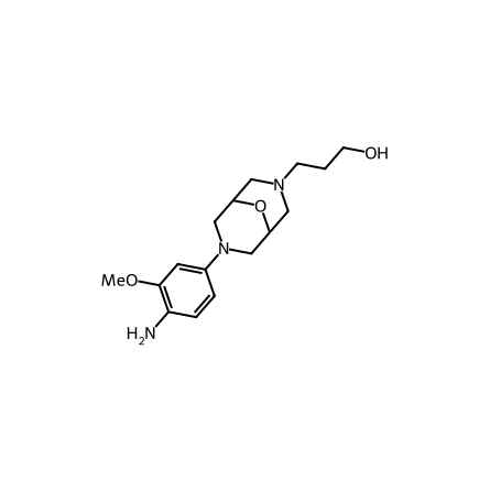 COc1cc(N2CC3CN(CCCO)CC(C2)O3)ccc1N